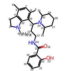 CCCCCCN1CCc2c(C)cc(C)c(C(CCNC(=O)c3ccccc3O)N3C(C)CCCC3C)c21